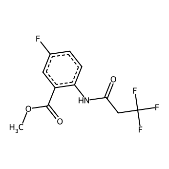 COC(=O)c1cc(F)ccc1NC(=O)CC(F)(F)F